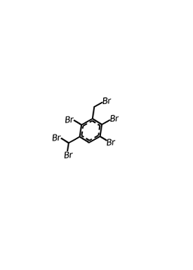 BrCc1c(Br)c(Br)cc(C(Br)Br)c1Br